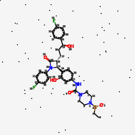 CC[S@@+]([O-])N1CCN(C(=O)Nc2ccc([C@@H]3[C@@H](CC[C@H](O)c4ccc(F)cc4)C(=O)N3c3ccc(F)cc3)c(O)c2)CC1